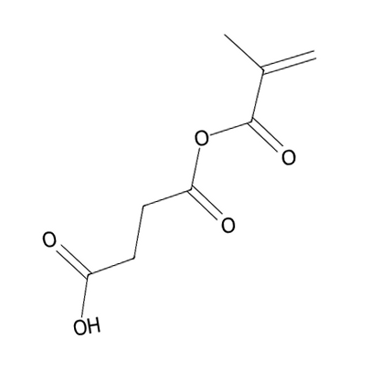 C=C(C)C(=O)OC(=O)CCC(=O)O